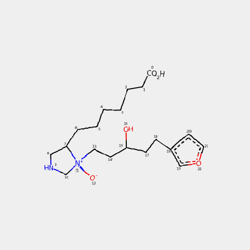 O=C(O)CCCCCCC1CNC[N+]1([O-])CCC(O)CCc1ccoc1